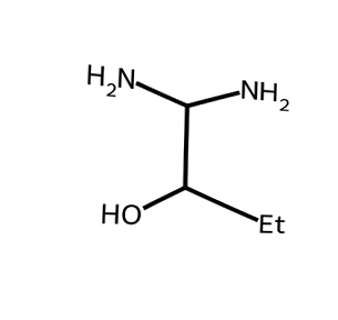 CCC(O)C(N)N